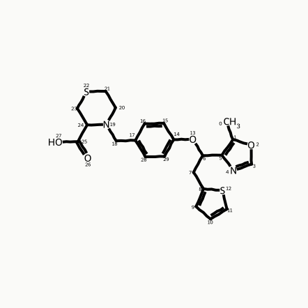 Cc1ocnc1C(Cc1cccs1)Oc1ccc(CN2CCSCC2C(=O)O)cc1